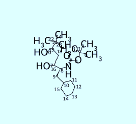 CC(C)(C)OC(=O)N[C@@H](CC1CCCCC1)C(O)CC(O)C(C)(C)C